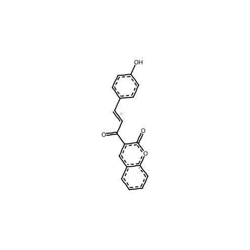 O=C(/C=C/c1ccc(O)cc1)c1cc2ccccc2oc1=O